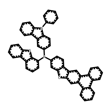 c1ccc(-n2c3ccccc3c3cc(N(c4ccc5c(c4)oc4cc6c7ccccc7c7ccccc7c6cc45)c4cccc5c4sc4ccccc45)ccc32)cc1